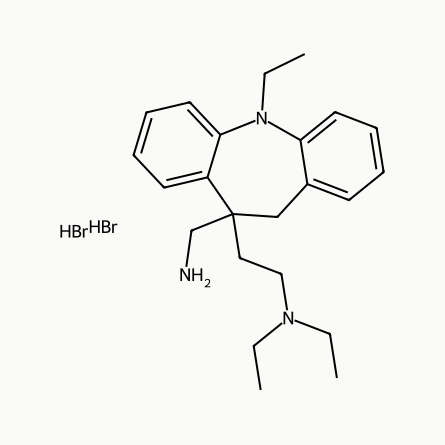 Br.Br.CCN(CC)CCC1(CN)Cc2ccccc2N(CC)c2ccccc21